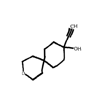 C#CC1(O)CCC2(CCOCC2)CC1